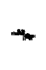 CC(C)(C)OC(=O)N1CCCC(Nc2ccc3[nH]ncc3c2)C1